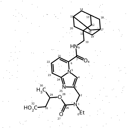 CCN(Cc1cn2c(C(=O)NCC34CC5CC(CC(C5)C3)C4)cccc2n1)C(=O)OC(C)CC(=O)O